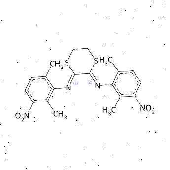 Cc1ccc([N+](=O)[O-])c(C)c1/N=C1\SCCS\C1=N/c1c(C)ccc([N+](=O)[O-])c1C